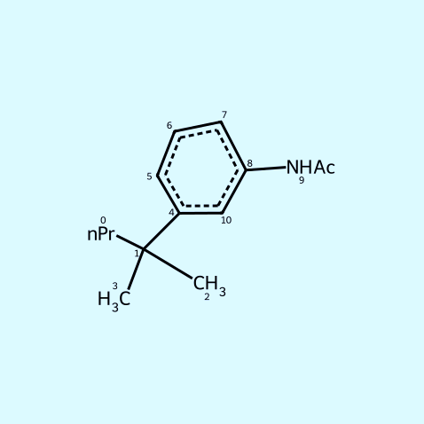 CCCC(C)(C)c1cccc(NC(C)=O)c1